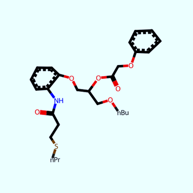 CCCCOCC(COc1ccccc1NC(=O)CCSCCC)OC(=O)COc1ccccc1